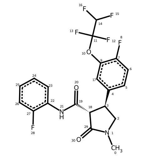 CN1C[C@H](c2ccc(F)c(OC(F)(F)C(F)F)c2)[C@@H](C(=O)Nc2ccccc2F)C1=O